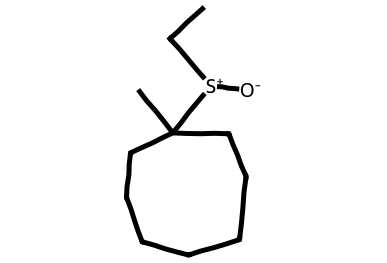 CC[S+]([O-])C1(C)CCCCCCC1